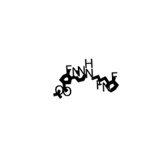 CC(C)OC(=O)c1ccc(F)c(-c2ccc(NCC[C@H](F)Cc3ncccc3F)nn2)c1